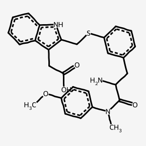 COc1ccc(N(C)C(=O)C(N)Cc2cccc(SCc3[nH]c4ccccc4c3CC(=O)O)c2)cc1